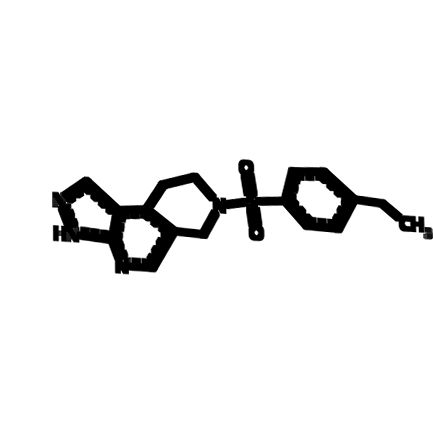 CCc1ccc(S(=O)(=O)N2CCc3c(cnc4[nH]ncc34)C2)cc1